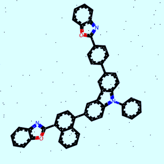 c1ccc(-n2c3ccc(-c4ccc(-c5nc6ccccc6o5)cc4)cc3c3cc(-c4ccc(-c5nc6ccccc6o5)c5ccccc45)ccc32)cc1